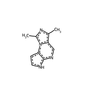 Cc1nc(C)n2c1cnc1[nH]ccc12